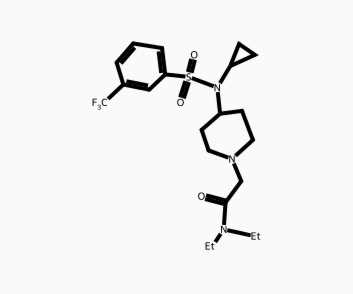 CCN(CC)C(=O)CN1CCC(N(C2CC2)S(=O)(=O)c2cccc(C(F)(F)F)c2)CC1